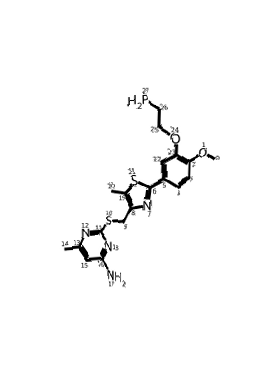 COc1ccc(-c2nc(CSc3nc(C)cc(N)n3)c(C)s2)cc1OCCP